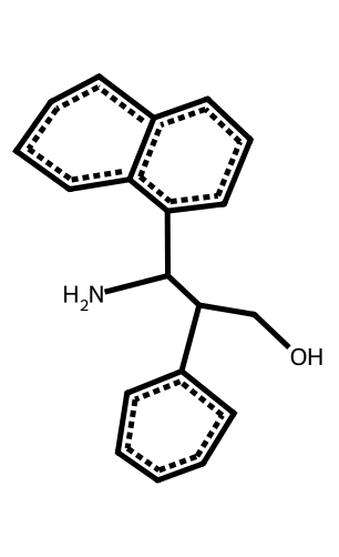 NC(c1cccc2ccccc12)C(CO)c1ccccc1